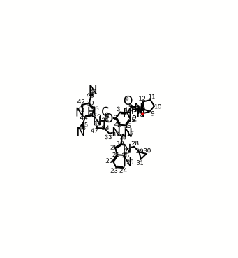 COc1cc(C(=O)N2CC3CCC2[C@@H]3N)cc2nc(-c3cc4cccnc4n3CC3CC3)n(CC3CN(c4cc(C#N)cnc4C#N)C3)c12